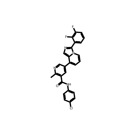 Cc1ncc(-c2cccn3c(-c4cccc(F)c4F)ncc23)cc1C(=O)Nc1ccc(Cl)cc1